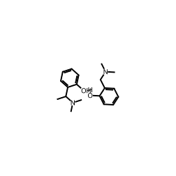 CC(c1ccccc1O)N(C)C.CN(C)Cc1ccccc1O